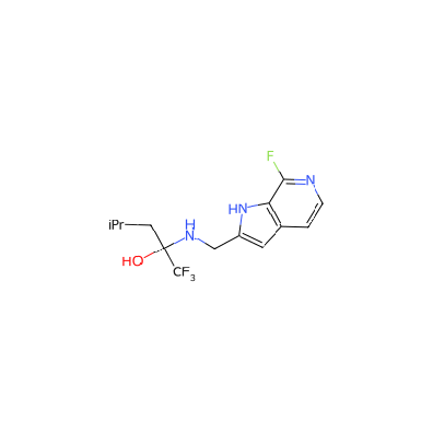 CC(C)CC(O)(NCc1cc2ccnc(F)c2[nH]1)C(F)(F)F